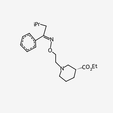 CCOC(=O)[C@@H]1CCCN(CCON=C(CC(C)C)c2ccccc2)C1